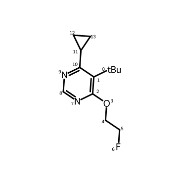 CC(C)(C)c1c(OCCF)ncnc1C1CC1